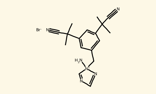 CC(C)(C#N)c1cc(C[N+]2(N)C=NC=N2)cc(C(C)(C)C#N)c1.[Br-]